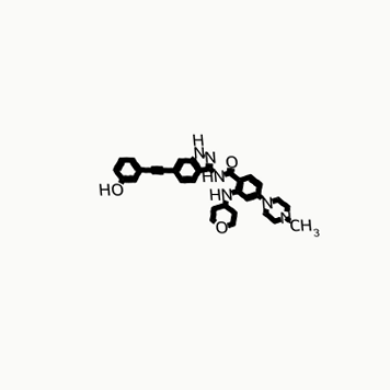 CN1CCN(c2ccc(C(=O)Nc3n[nH]c4cc(C#Cc5cccc(O)c5)ccc34)c(NC3CCOCC3)c2)CC1